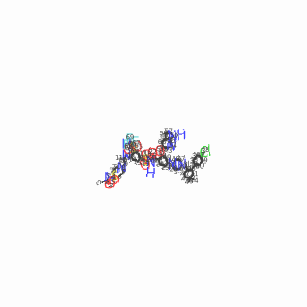 CC(=O)N=S1(=O)CCN(C[C@H](C)Nc2ccc(S(=O)(=O)NC(=O)c3ccc(N4CCN(CC5=C(c6ccc(Cl)cc6)CC(C)(C)CC5)CC4)cc3Oc3cnc4[nH]ccc4c3)cc2S(=O)(=O)C(F)(F)F)CC1